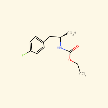 O=C(N[C@@H](Cc1ccc(F)cc1)C(=O)O)OCC(Cl)(Cl)Cl